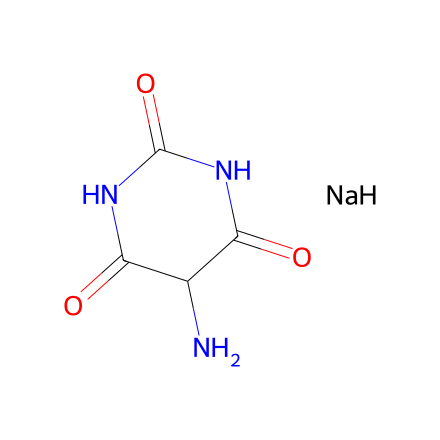 NC1C(=O)NC(=O)NC1=O.[NaH]